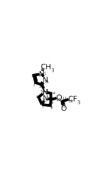 Cn1ccc(N2CC3CC(OC(=O)C(F)(F)F)(C2)N3)n1